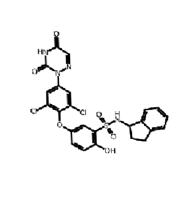 O=c1cnn(-c2cc(Cl)c(Oc3ccc(O)c(S(=O)(=O)NC4CCc5ccccc54)c3)c(Cl)c2)c(=O)[nH]1